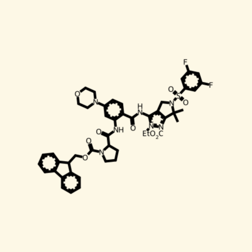 CCOC(=O)n1nc2c(c1NC(=O)c1ccc(N3CCOCC3)cc1NC(=O)C1CCCN1C(=O)OCC1c3ccccc3-c3ccccc31)CN(S(=O)(=O)c1cc(F)cc(F)c1)C2(C)C